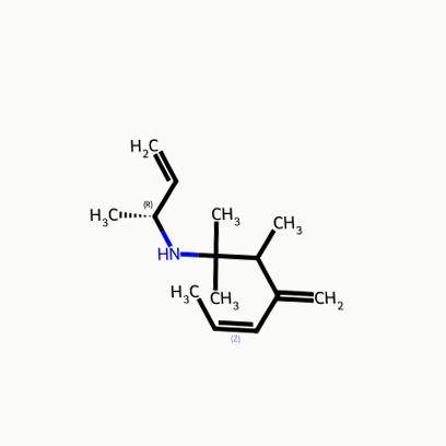 C=C[C@@H](C)NC(C)(C)C(C)C(=C)/C=C\C